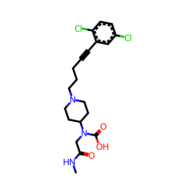 CNC(=O)CN(C(=O)O)C1CCN(CCCC#Cc2cc(Cl)ccc2Cl)CC1